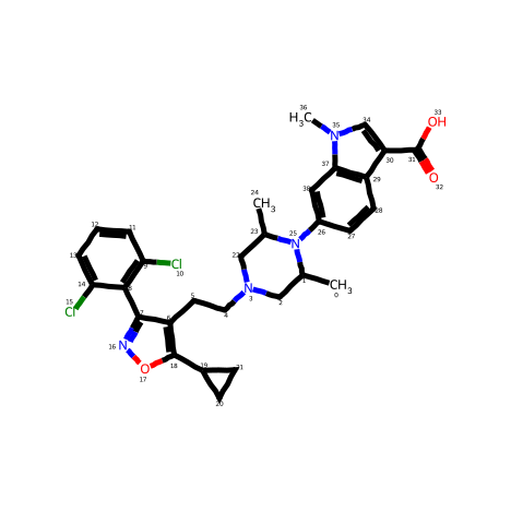 CC1CN(CCc2c(-c3c(Cl)cccc3Cl)noc2C2CC2)CC(C)N1c1ccc2c(C(=O)O)cn(C)c2c1